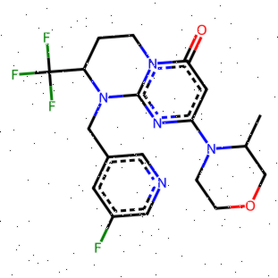 CC1COCCN1c1cc(=O)n2c(n1)N(Cc1cncc(F)c1)C(C(F)(F)F)CC2